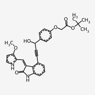 COc1cc[nH]c1/C=C1\C(=O)Nc2cccc(C#CC(O)c3ccc(OCC(=O)OC(C)(C)C)cc3)c21